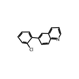 Clc1ccccc1-c1ccc2ncccc2c1